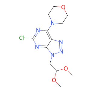 COC(Cn1nnc2c(N3CCOCC3)nc(Cl)nc21)OC